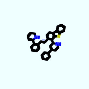 C1=CCNC(c2ccccc2/C=C/c2ccc3c(sc4ccccc43)c2C2C=C(c3ccccc3)C=CN2)=C1